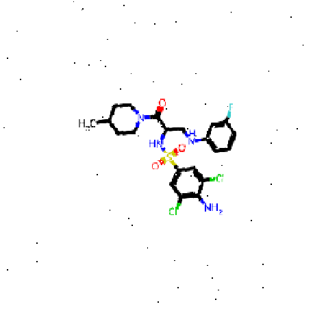 CC1CCN(C(=O)C(CNc2cccc(F)c2)NS(=O)(=O)c2cc(Cl)c(N)c(Cl)c2)CC1